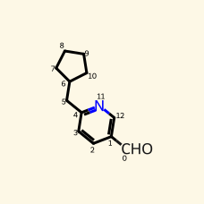 O=Cc1ccc(CC2CCCC2)nc1